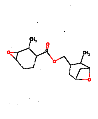 CC1C(COC(=O)C2CCC3OC3C2C)CC2CC1O2